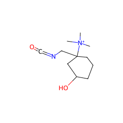 C[N+](C)(C)C1(CN=C=O)CCCC(O)C1